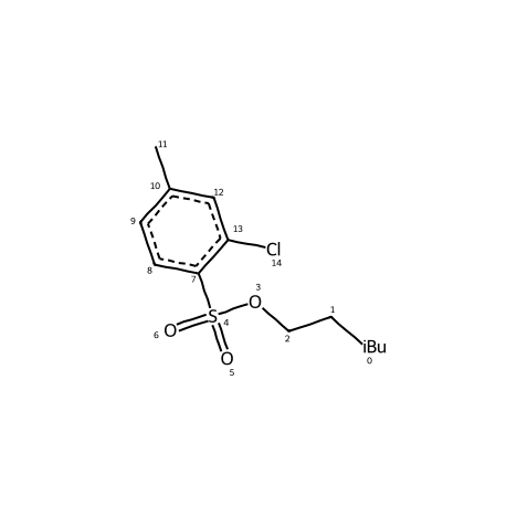 CCC(C)CCOS(=O)(=O)c1ccc(C)cc1Cl